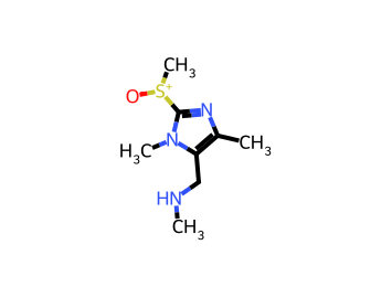 CNCc1c(C)nc([S+](C)[O-])n1C